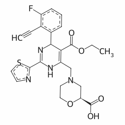 C#Cc1c(F)cccc1C1N=C(c2nccs2)NC(CN2CCO[C@H](C(=O)O)C2)=C1C(=O)OCC